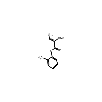 CC=C(OC)C(=O)Oc1ccccc1C